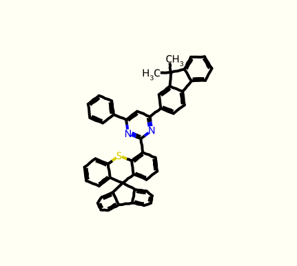 CC1(C)c2ccccc2-c2ccc(-c3cc(-c4ccccc4)nc(-c4cccc5c4Sc4ccccc4C54c5ccccc5-c5ccccc54)n3)cc21